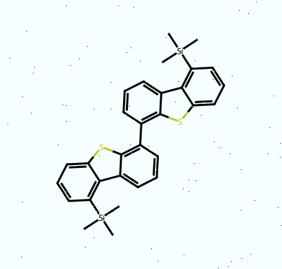 C[Si](C)(C)c1cccc2sc3c(-c4cccc5c4sc4cccc([Si](C)(C)C)c45)cccc3c12